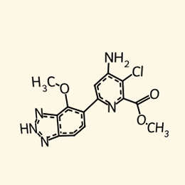 COC(=O)c1nc(-c2ccc3n[nH]nc3c2OC)cc(N)c1Cl